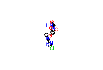 O=C1NC(=O)C2(N3Cc4cc(O[C@@H]5CCCC[C@H]5N5CC(c6ncc(Cl)cn6)C5)ccc4C3=O)CC1C2